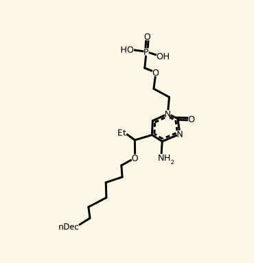 CCCCCCCCCCCCCCCCOC(CC)c1cn(CCOCP(=O)(O)O)c(=O)nc1N